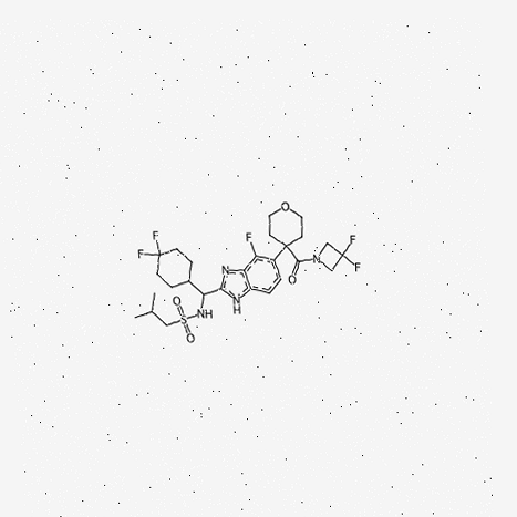 CC(C)CS(=O)(=O)NC(c1nc2c(F)c(C3(C(=O)N4CC(F)(F)C4)CCOCC3)ccc2[nH]1)C1CCC(F)(F)CC1